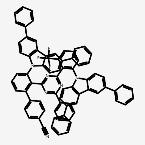 N#Cc1ccc(-c2cccc(-n3c4ccc(-c5ccccc5)cc4c4cc(-c5ccccc5)ccc43)c2-c2nc(-c3ccccc3)nc(-c3c(-n4c5ccc(-c6ccccc6)cc5c5cc(-c6ccccc6)ccc54)cccc3C(F)(F)F)n2)cc1